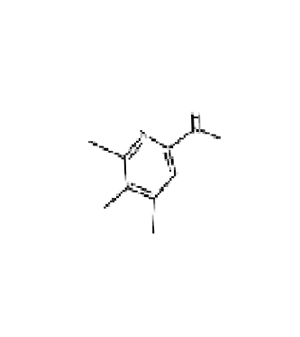 CNc1cc(C)c(C)c(C)n1